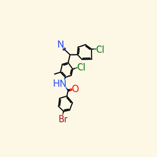 Cc1cc(C(C#N)c2ccc(Cl)cc2)c(Cl)cc1NC(=O)c1ccc(Br)cc1